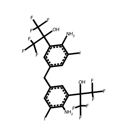 Nc1c(I)cc(Cc2cc(I)c(N)c(C(O)(C(F)(F)F)C(F)(F)F)c2)cc1C(O)(C(F)(F)F)C(F)(F)F